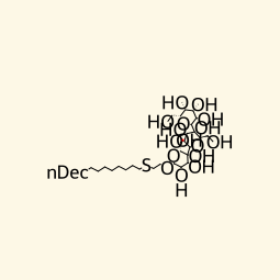 CCCCCCCCCCCCCCCCCCSCCO[C@H]1O[C@H](CO)[C@](O)([C@@H]2O[C@H](CO)[C@@](O)([C@@H]3O[C@H](CO)[C@H](O)[C@H](O)[C@H]3O)[C@H](O)[C@H]2O)[C@H](O)[C@H]1O